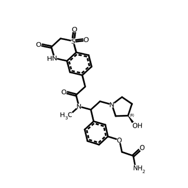 CN(C(=O)Cc1ccc2c(c1)NC(=O)CS2(=O)=O)C(CN1CC[C@@H](O)C1)c1cccc(OCC(N)=O)c1